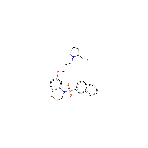 C[C@@H]1CCCN1CCCOc1ccc2c(c1)N(S(=O)(=O)c1ccc3ccccc3c1)CCS2